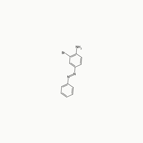 Nc1ccc(/N=N/c2ccccc2)cc1Br